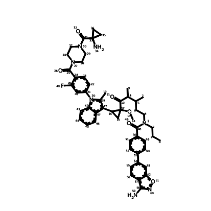 CCCN(CCC(C)C(C)C(=O)C1(OC)CC1c1c(C)n(-c2ccc(C(=O)N3CCN(C(=O)C4(N)CC4)CC3)c(F)c2)c2ccccc12)C(=O)c1ccc(-c2ccc3c(N)noc3c2)cc1